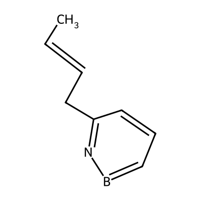 CC=CCc1cccbn1